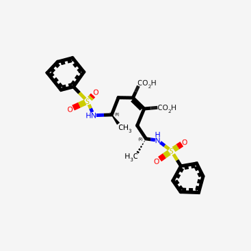 C[C@H](CC(C(=O)O)=C(C[C@@H](C)NS(=O)(=O)c1ccccc1)C(=O)O)NS(=O)(=O)c1ccccc1